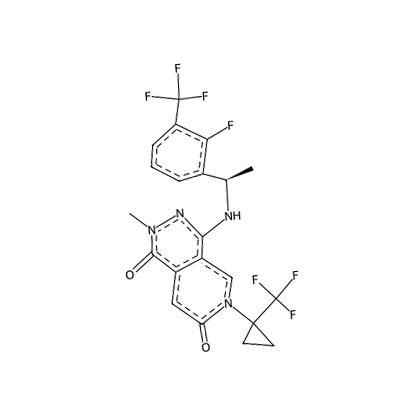 C[C@@H](Nc1nn(C)c(=O)c2cc(=O)n(C3(C(F)(F)F)CC3)cc12)c1cccc(C(F)(F)F)c1F